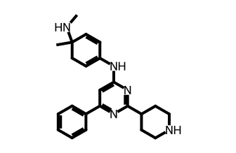 CNC1(C)C=CC(Nc2cc(-c3ccccc3)nc(C3CCNCC3)n2)=CC1